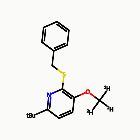 [2H]C([2H])([2H])Oc1ccc(C(C)(C)C)nc1SCc1ccccc1